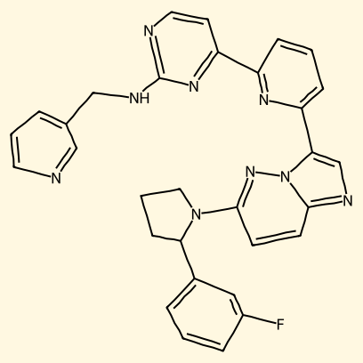 Fc1cccc(C2CCCN2c2ccc3ncc(-c4cccc(-c5ccnc(NCc6cccnc6)n5)n4)n3n2)c1